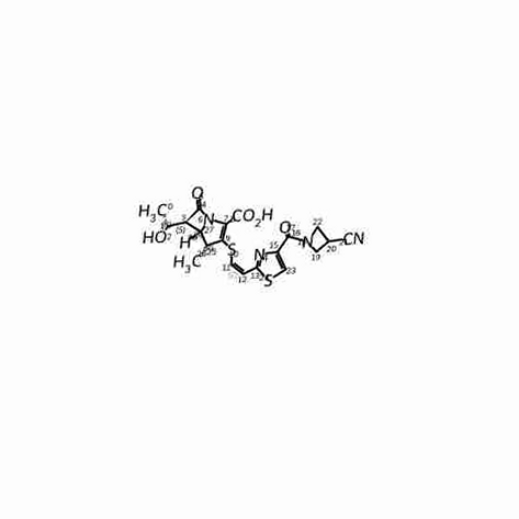 C[C@@H](O)[C@H]1C(=O)N2C(C(=O)O)=C(S/C=C\c3nc(C(=O)N4CC(C#N)C4)cs3)[C@H](C)[C@H]12